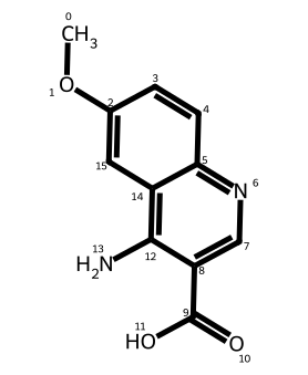 COc1ccc2ncc(C(=O)O)c(N)c2c1